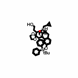 CC(C)(C)[Si](Oc1ccc2c(c1)[C@]13CCN(CC4CC4)[C@H](C2)[C@]1(O)CC(CCO)C1(C3)OCCO1)(c1ccccc1)c1ccccc1